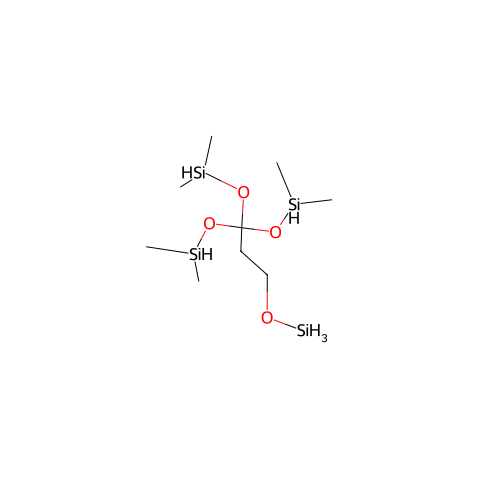 C[SiH](C)OC(CCO[SiH3])(O[SiH](C)C)O[SiH](C)C